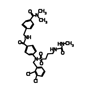 CNC(=O)NCCCS(=O)(=O)N(Cc1cccc(Cl)c1Cl)c1ccc(C(=O)NCc2ccc(C(=O)N(C)C)cc2)cc1